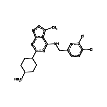 Cc1csc2nc(C3CCC(C(=O)O)CC3)nc(NCc3ccc(Cl)c(Cl)c3)c12